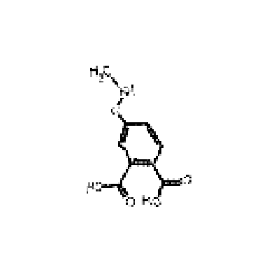 CNOc1ccc(C(=O)O)c(C(=O)O)c1